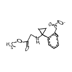 COC(=O)CNC1(c2ccccc2[N+](=O)[O-])CC1